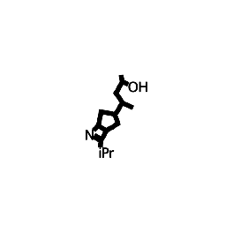 CC(O)CC(C)C1CC2N=C(C(C)C)C2C1